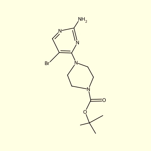 CC(C)(C)OC(=O)N1CCN(c2nc(N)ncc2Br)CC1